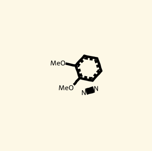 COc1ccccc1OC.N#N